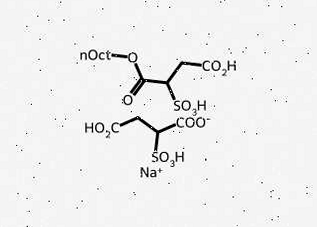 CCCCCCCCOC(=O)C(CC(=O)O)S(=O)(=O)O.O=C(O)CC(C(=O)[O-])S(=O)(=O)O.[Na+]